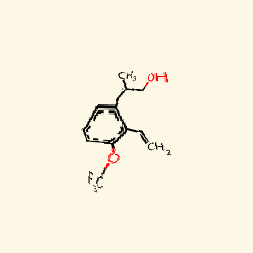 C=Cc1c(OC(F)(F)F)cccc1[C](C)CO